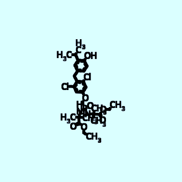 CCOC(=O)C(C)(C)NP(=O)(COc1cc(Cl)c(Cc2ccc(O)c(C(C)C)c2)c(Cl)c1)NC(C)(C)C(=O)OCC